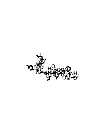 C=C(C)/C=C\C(=C)C[C@@H](C(=O)N(C)CC(=O)NCC(=O)N[C@@H](CCCC)C(=O)N(C)[C@@H](COC)C(=O)N[C@@H](CC(C)C)C(=O)N(C)[C@@H](CC(=O)N(C)[C@@H](CCOC)C(N)=O)C(=O)N1CCCCC1)N(C)C(=O)CN(C)C(=O)CN(C)C(=O)C[C@@H](C)CC